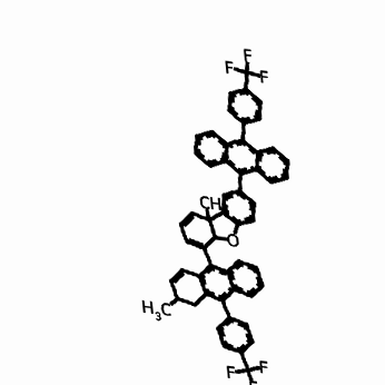 CC1C=Cc2c(c(-c3ccc(C(F)(F)F)cc3)c3ccccc3c2C2=CC=CC3(C)c4cc(-c5c6ccccc6c(-c6ccc(C(F)(F)F)cc6)c6ccccc56)ccc4OC23)C1